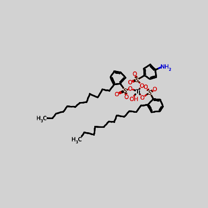 CCCCCCCCCCCCc1ccccc1S(=O)(=O)[O][Ti]([OH])([O]S(=O)(=O)c1ccc(N)cc1)[O]S(=O)(=O)c1ccccc1CCCCCCCCCCCC